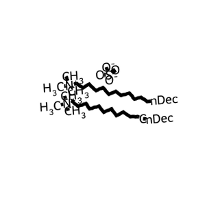 CCCCCCCCCCCCCCCCCCCCCC[N+](C)(C)C.CCCCCCCCCCCCCCCCCCCCCC[N+](C)(C)C.O=S(=O)([O-])[O-]